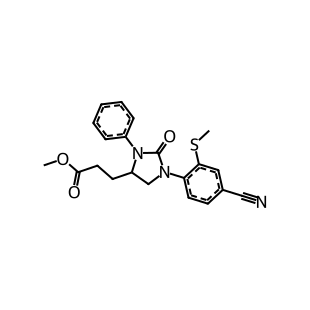 COC(=O)CCC1CN(c2ccc(C#N)cc2SC)C(=O)N1c1ccccc1